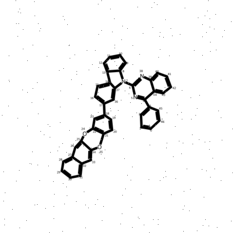 c1ccc(-c2nc(-n3c4ccccc4c4ccc(-c5ccc6c(c5)Oc5cc7ccccc7cc5O6)cc43)nc3ccccc23)cc1